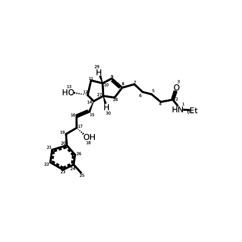 CCNC(=O)CCCCC1=C[C@H]2C[C@@H](O)[C@H](/C=C/[C@H](O)Cc3cccc(C)c3)[C@H]2C1